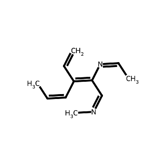 C=CC(/C=C\C)=C(/C=N\C)\N=C/C